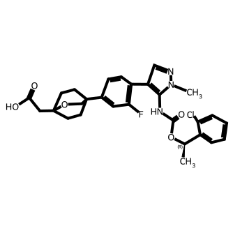 C[C@@H](OC(=O)Nc1c(-c2ccc(C34CCC(CC(=O)O)(CC3)OC4)cc2F)cnn1C)c1ccccc1Cl